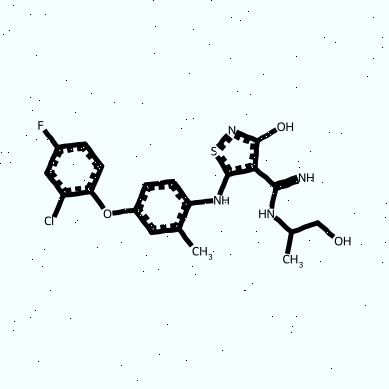 Cc1cc(Oc2ccc(F)cc2Cl)ccc1Nc1snc(O)c1C(=N)NC(C)CO